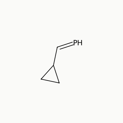 P=CC1CC1